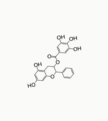 O=C(OC1Cc2c(O)cc(O)cc2OC1c1ccccc1)c1cc(O)c(O)c(O)c1